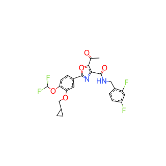 CC(=O)c1oc(-c2ccc(OC(F)F)c(OCC3CC3)c2)nc1C(=O)NCc1ccc(F)cc1F